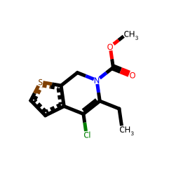 CCC1=C(Cl)c2ccsc2CN1C(=O)OC